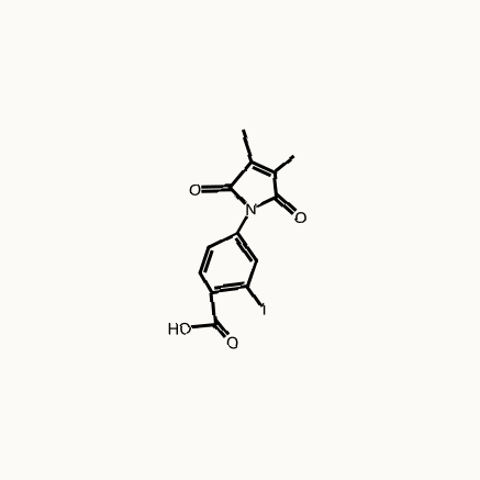 CC1=C(C)C(=O)N(c2ccc(C(=O)O)c(I)c2)C1=O